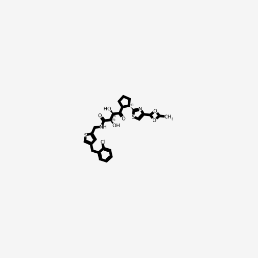 CC1OC(c2csc([C@H]3CCCC3C(=O)[C@H](O)[C@@H](O)C(=O)NCc3cc(Cc4ccccc4Cl)cs3)n2)O1